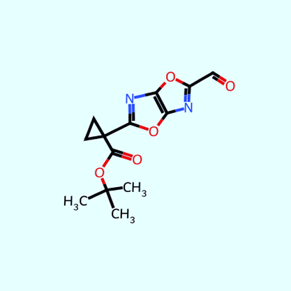 CC(C)(C)OC(=O)C1(c2nc3oc(C=O)nc3o2)CC1